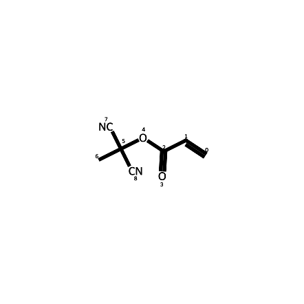 C=CC(=O)OC(C)(C#N)C#N